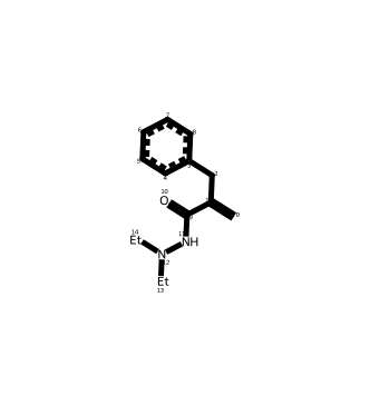 C=C(Cc1ccccc1)C(=O)NN(CC)CC